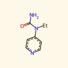 CCN(C(N)=O)c1ccncc1